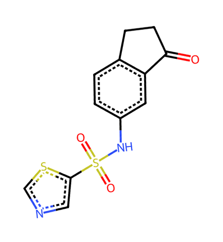 O=C1CCc2ccc(NS(=O)(=O)c3cncs3)cc21